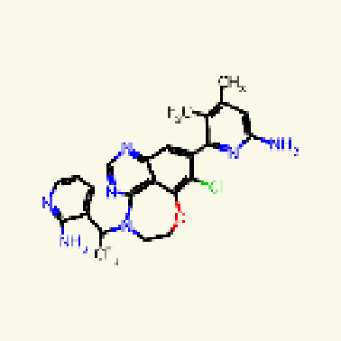 Cc1cc(N)nc(-c2cc3ncnc4c3c(c2Cl)OCCN4C(c2cccnc2N)C(F)(F)F)c1C(F)(F)F